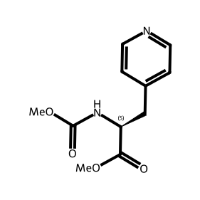 COC(=O)N[C@@H](Cc1ccncc1)C(=O)OC